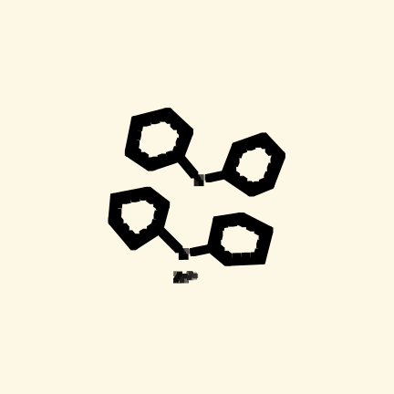 [Zn+2].c1ccc([N-]c2ccccc2)cc1.c1ccc([N-]c2ccccc2)cc1